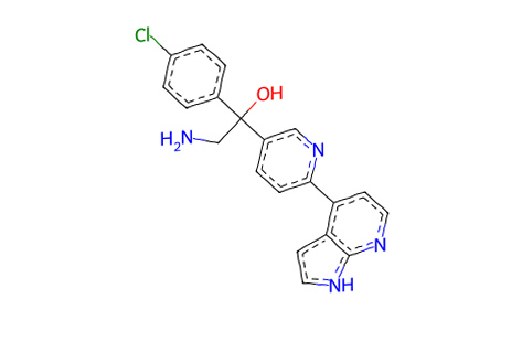 NCC(O)(c1ccc(Cl)cc1)c1ccc(-c2ccnc3[nH]ccc23)nc1